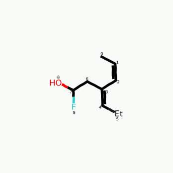 C/C=C\C(=C/CC)CC(O)F